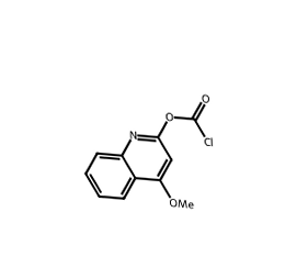 COc1cc(OC(=O)Cl)nc2ccccc12